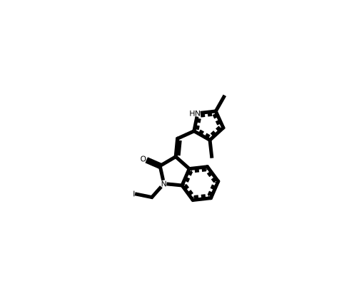 Cc1cc(C)c(C=C2C(=O)N(CI)c3ccccc32)[nH]1